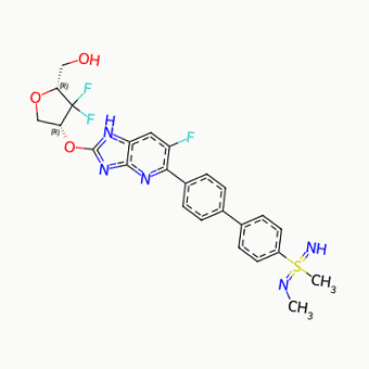 CN=S(C)(=N)c1ccc(-c2ccc(-c3nc4nc(O[C@@H]5CO[C@H](CO)C5(F)F)[nH]c4cc3F)cc2)cc1